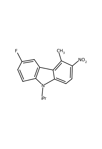 Cc1c([N+](=O)[O-])ccc2c1c1cc(F)ccc1n2C(C)C